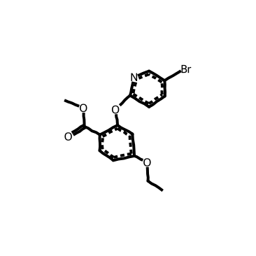 CCOc1ccc(C(=O)OC)c(Oc2ccc(Br)cn2)c1